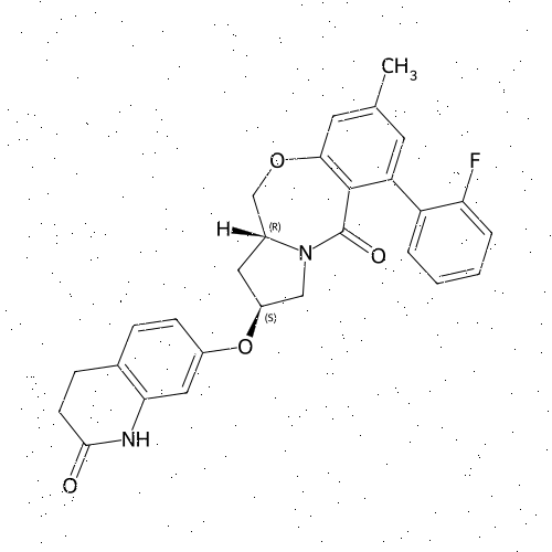 Cc1cc2c(c(-c3ccccc3F)c1)C(=O)N1C[C@@H](Oc3ccc4c(c3)NC(=O)CC4)C[C@@H]1CO2